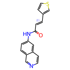 O=C(/C=C/c1ccsc1)Nc1ccc2cnccc2c1